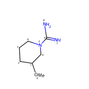 COC1CCCN(C(=N)N)C1